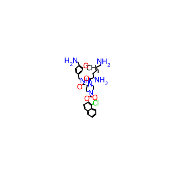 COc1cc(CNC(=O)[C@@H]2CN(C(=O)Oc3ccc4ccccc4c3Cl)CCN2C(=O)[C@H](N)CCCCN)ccc1CN